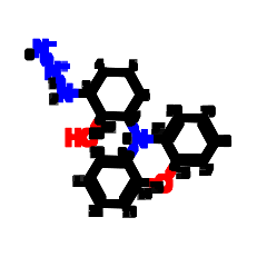 [N-]=[N+]=NC1CCCC(N2c3ccccc3Oc3ccccc32)C1O